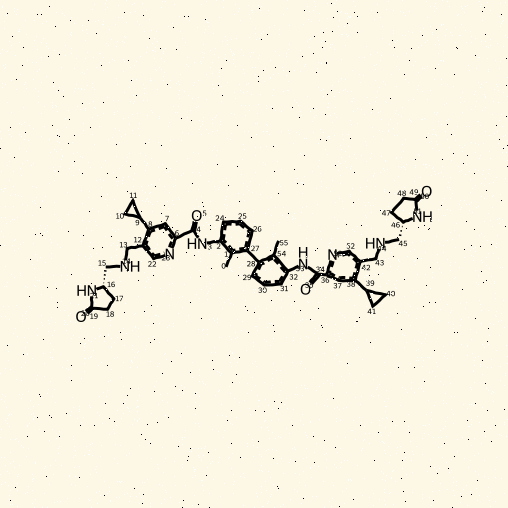 Cc1c(NC(=O)c2cc(C3CC3)c(CNC[C@@H]3CCC(=O)N3)cn2)cccc1-c1cccc(NC(=O)c2cc(C3CC3)c(CNC[C@@H]3CCC(=O)N3)cn2)c1C